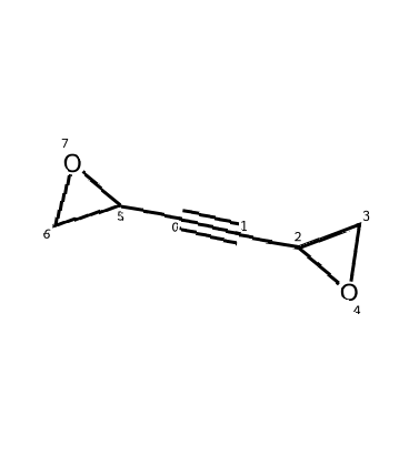 C(#CC1CO1)C1CO1